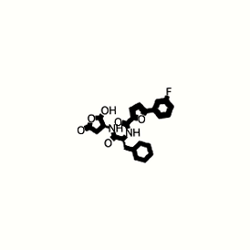 O=C1C[C@H](NC(=O)[C@H](CC2CCCCC2)NC(=O)c2ccc(-c3cccc(F)c3)o2)C(O)O1